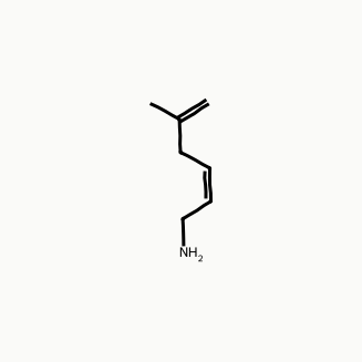 C=C(C)C/C=C\CN